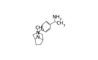 CC(N)c1ccc(CN2C3CCC2CN(C)C3)cc1